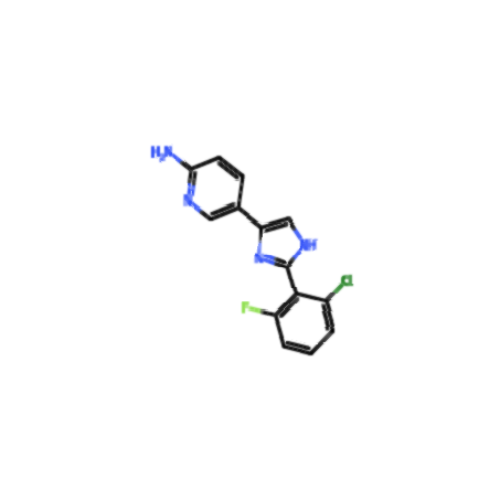 Nc1ccc(-c2c[nH]c(-c3c(F)cccc3Cl)n2)cn1